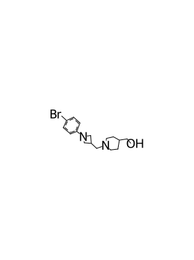 OCC1CCN(CC2CN(c3ccc(Br)cc3)C2)CC1